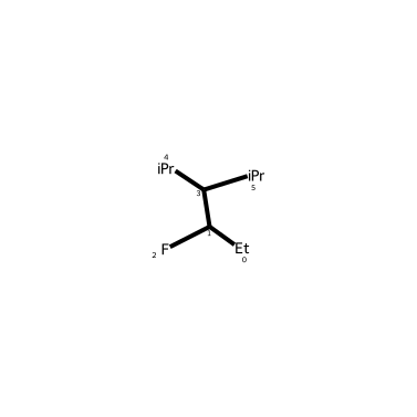 CCC(F)C(C(C)C)C(C)C